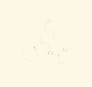 CSc1ccc(NC(C)=N)c(N2CCOCC2)c1